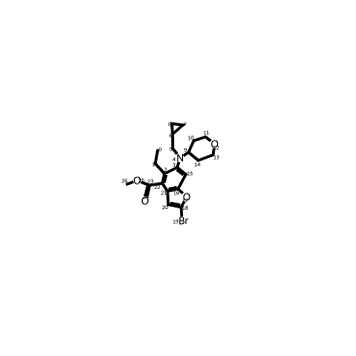 CCc1c(N(CC2CC2)C2CCOCC2)cc2oc(Br)cc2c1C(=O)OC